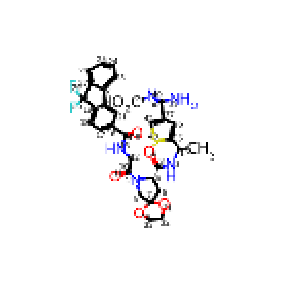 C[C@@H](NC(=O)[C@@H]1CC2(CN1C(=O)CNC(=O)c1ccc3c(c1)-c1ccccc1C3(F)F)OCCO2)c1cc(/C(N)=N\C(=O)O)cs1